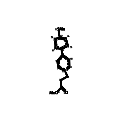 COC(=O)CC[n+]1ccc(-c2nnc(SC)nn2)cc1